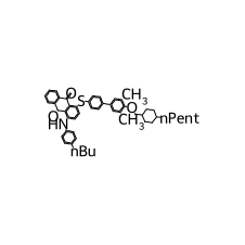 CCCCCC1CCC(COc2c(C)cc(-c3ccc(Sc4ccc(Nc5ccc(CCCC)cc5)c5c4C(=O)c4ccccc4C5=O)cc3)cc2C)CC1